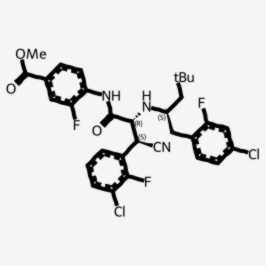 COC(=O)c1ccc(NC(=O)[C@H](N[C@H](Cc2ccc(Cl)cc2F)CC(C)(C)C)[C@@H](C#N)c2cccc(Cl)c2F)c(F)c1